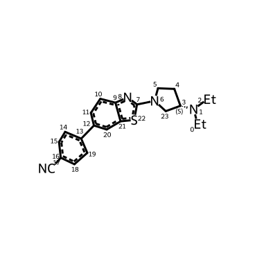 CCN(CC)[C@H]1CCN(c2nc3ccc(-c4ccc(C#N)cc4)cc3s2)C1